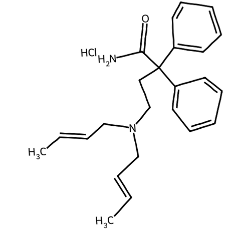 CC=CCN(CC=CC)CCC(C(N)=O)(c1ccccc1)c1ccccc1.Cl